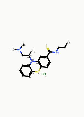 CC(C)CCNC(=S)c1ccc2c(c1)N([C@H](C)CN(C)C)c1ccccc1S2.Cl